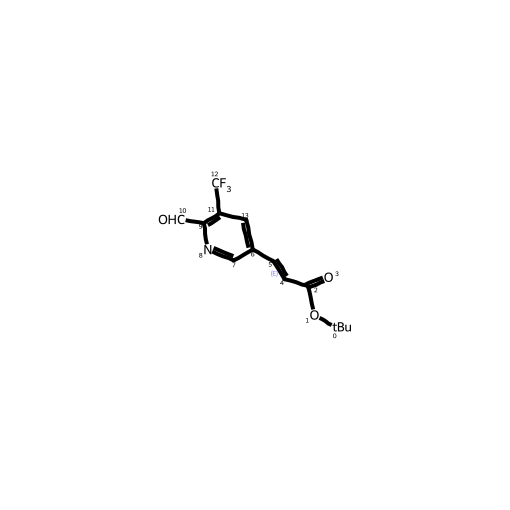 CC(C)(C)OC(=O)/C=C/c1cnc(C=O)c(C(F)(F)F)c1